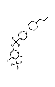 CCC[C@H]1CC[C@H](c2ccc(C(F)(F)Oc3cc(F)c(C(F)(F)F)c(F)c3)cc2)CC1